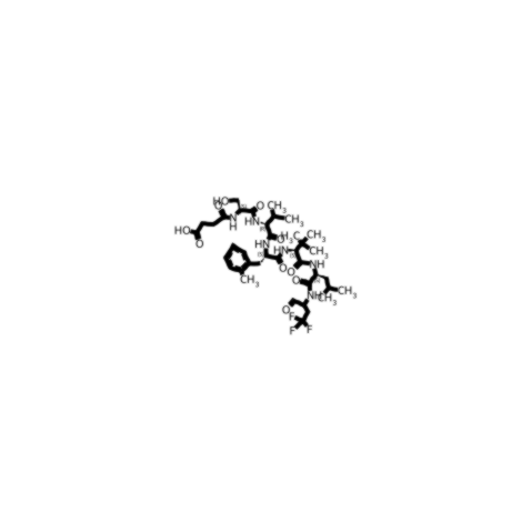 Cc1ccccc1C[C@H](NC(=O)[C@H](NC(=O)[C@H](CO)NC(=O)CCC(=O)O)C(C)C)C(=O)N[C@H](C(=O)N[C@@H](CC(C)C)C(=O)NC(C=O)CC(F)(F)F)C(C)(C)C